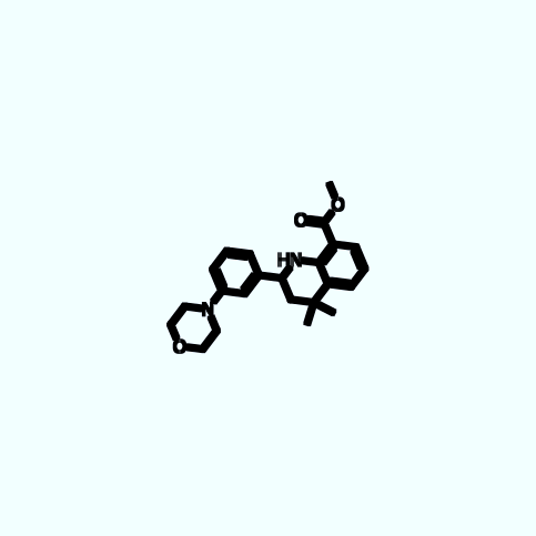 COC(=O)c1cccc2c1NC(c1cccc(N3CCOCC3)c1)CC2(C)C